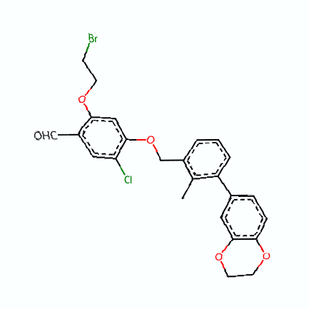 Cc1c(COc2cc(OCCBr)c(C=O)cc2Cl)cccc1-c1ccc2c(c1)OCCO2